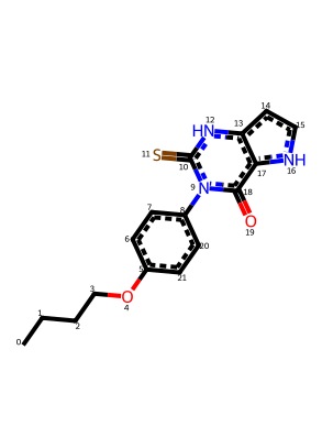 CCCCOc1ccc(-n2c(=S)[nH]c3cc[nH]c3c2=O)cc1